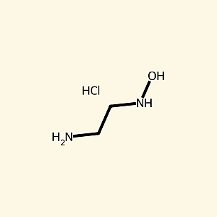 Cl.NCCNO